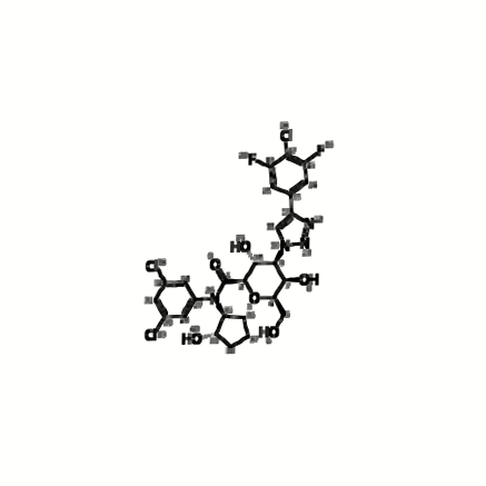 O=C([C@@H]1O[C@H](CO)[C@H](O)[C@H](n2cc(-c3cc(F)c(Cl)c(F)c3)nn2)[C@H]1O)N(c1cc(Cl)cc(Cl)c1)[C@H]1CCC[C@@H]1O